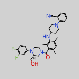 Cc1cc(C)c(C(=O)N2CCN(c3ccc(F)c(F)c3)[C@H](CO)C2)c(C)c1NC1CCN(c2ccccc2C#N)CC1